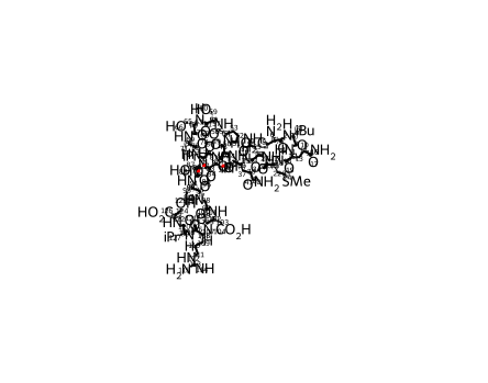 CC[C@H](C)[C@H](NC(=O)[C@@H](N)CC(=O)O)C(=O)N[C@@H](CCC(N)=O)C(=O)N[C@@H](CCSC)C(=O)N[C@@H](CC(N)=O)C(=O)N[C@@H](CCC(N)=O)C(=O)N[C@@H](CO)C(=O)N1CCC[C@H]1C(=O)N[C@@H](CO)C(=O)N[C@@H](CO)C(=O)N[C@@H](CC(C)C)C(=O)N[C@@H](CO)C(=O)N[C@H](C(=O)N[C@@H](CO)C(=O)N[C@@H](CC(C)C)C(=O)NCC(=O)N[C@@H](CC(=O)O)C(=O)N[C@@H](CCCNC(=N)N)C(=O)N[C@H](C(=O)N[C@@H](CO)C(=O)O)C(C)C)C(C)C